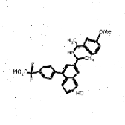 COc1cccc([C@@H](C)NC(C)c2cc(-c3ccc(C(F)(F)C(=O)O)cc3)c3ccccc3c2)c1.Cl